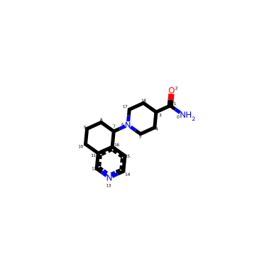 NC(=O)C1CCN(C2CCCc3cnccc32)CC1